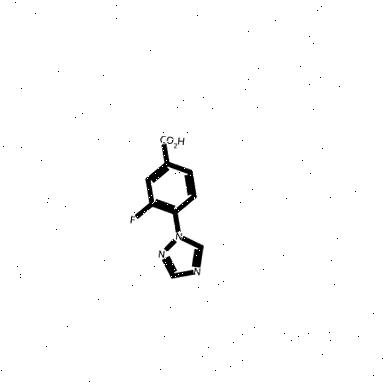 O=C(O)c1ccc(-n2cncn2)c(F)c1